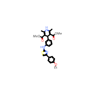 CCOc1ccc(-c2csc(Nc3cccc(C4C(C(=O)OC)=C(C)NC(C)=C4C(=O)OC)c3)n2)cc1